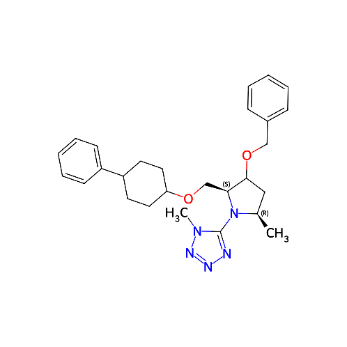 C[C@@H]1CC(OCc2ccccc2)[C@H](COC2CCC(c3ccccc3)CC2)N1c1nnnn1C